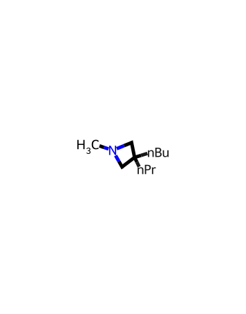 CCCCC1(CCC)CN(C)C1